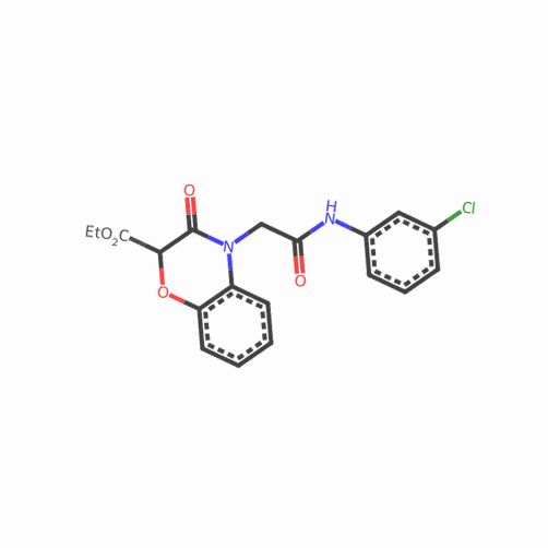 CCOC(=O)C1Oc2ccccc2N(CC(=O)Nc2cccc(Cl)c2)C1=O